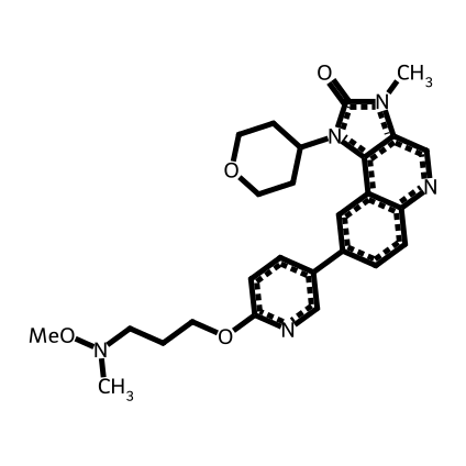 CON(C)CCCOc1ccc(-c2ccc3ncc4c(c3c2)n(C2CCOCC2)c(=O)n4C)cn1